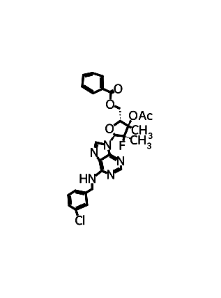 CC(=O)O[C@]1(C)[C@@H](COC(=O)c2ccccc2)O[C@H](n2cnc3c(NCc4cccc(Cl)c4)ncnc32)[C@]1(C)F